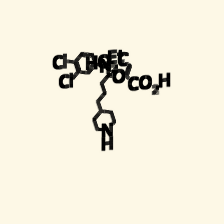 CCN(C(=O)CCCC1CCNCC1)c1ccc(Cl)c(Cl)c1.O=C(O)/C=C/C(=O)O